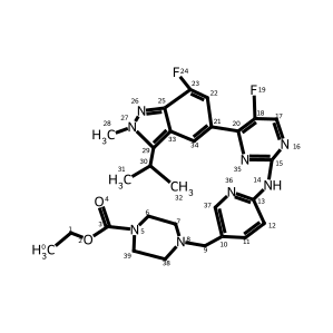 CCOC(=O)N1CCN(Cc2ccc(Nc3ncc(F)c(-c4cc(F)c5nn(C)c(C(C)C)c5c4)n3)nc2)CC1